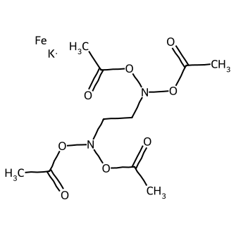 CC(=O)ON(CCN(OC(C)=O)OC(C)=O)OC(C)=O.[Fe].[K]